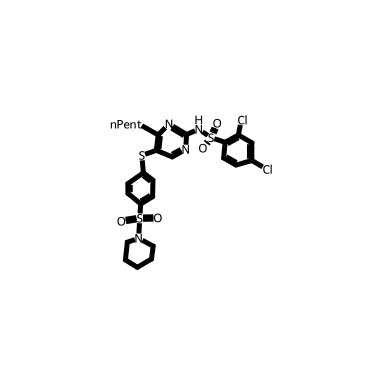 CCCCCc1nc(NS(=O)(=O)c2ccc(Cl)cc2Cl)ncc1Sc1ccc(S(=O)(=O)N2CCCCC2)cc1